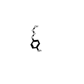 CCCc1ccc(SOOO)cc1